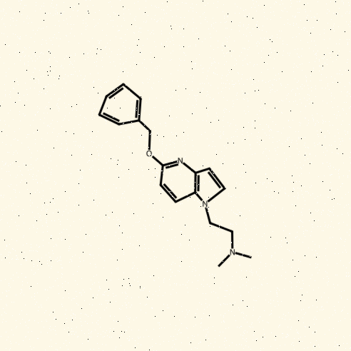 CN(C)CCn1ccc2nc(OCc3ccccc3)ccc21